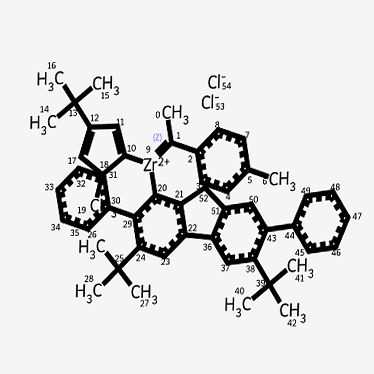 C/[C](c1ccc(C)cc1)=[Zr+2](\[C]1=CC(C(C)(C)C)=CC1C)[c]1c2c(cc(C(C)(C)C)c1-c1ccccc1)-c1cc(C(C)(C)C)c(-c3ccccc3)cc1C2.[Cl-].[Cl-]